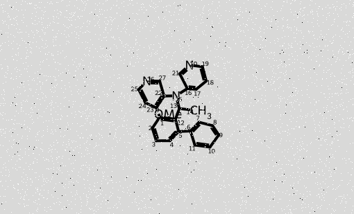 COc1cccc(-c2ccccc2)c1C(C)N(c1cccnc1)c1cccnc1